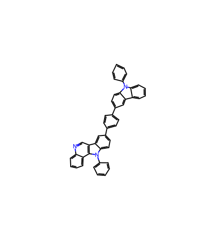 c1ccc(-n2c3ccccc3c3cc(-c4ccc(-c5ccc6c(c5)c5cnc7ccccc7c5n6-c5ccccc5)cc4)ccc32)cc1